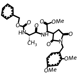 COC(=O)C(NC(=O)[C@H](C)NC(=O)OCc1ccccc1)C1CC(=O)N(Cc2ccc(OC)cc2OC)C1=O